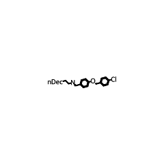 CCCCCCCCCCCC/N=C/c1ccc(OCc2ccc(Cl)cc2)cc1